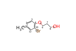 Cc1ccc(OCCCO)c(Br)c1